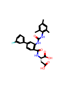 Cc1cc(C)c(NC(=O)Nc2cc(-c3cccc(F)c3)ccc2C(=O)N[C@@H](CC(=O)O)C(=O)O)c(C)c1